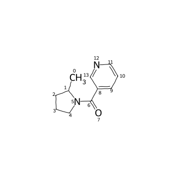 CC1CCCN1C(=O)c1cccnc1